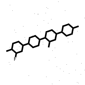 CC1CCC(C2CCC(C3CCC(C4CCC(C)C(F)C4)CC3)C(C)C2)CC1